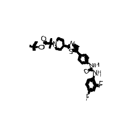 CC(C)(C)OC(=O)C(C)(C)N1CCC(c2ncc(-c3ccc(NC(=O)Nc4ccc(F)cc4F)cc3)s2)CC1